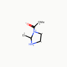 CCC1NCCN1C(=O)OC